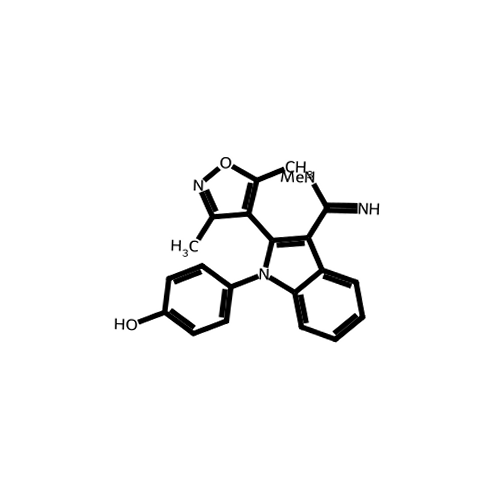 CNC(=N)c1c(-c2c(C)noc2C)n(-c2ccc(O)cc2)c2ccccc12